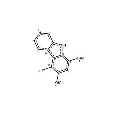 COc1cc(OC(C)=O)c2[nH]c3cnccc3c2c1I